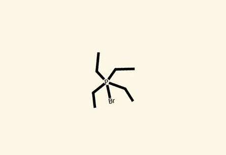 CCP(Br)(CC)(CC)CC